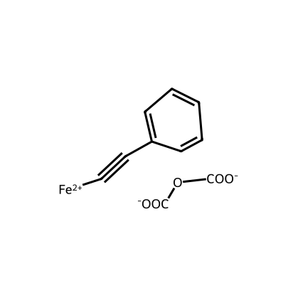 O=C([O-])OC(=O)[O-].[Fe+2][C]#Cc1ccccc1